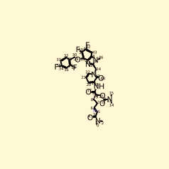 CN(C)C(=O)/C=C/CC[C@H](OC(=O)N(C)C)C(=O)Nc1cccn(Cc2nc3c(OCc4ccc(F)cc4F)c(F)c(F)cc3n2C)c1=O